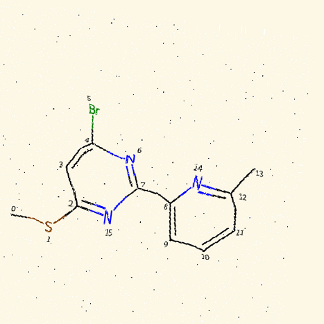 CSc1cc(Br)nc(-c2cccc(C)n2)n1